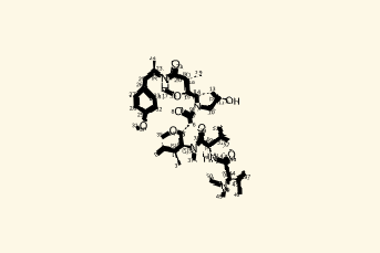 CC[C@H](C)[C@@H]([C@@H](CC(=O)N1C[C@@H](O)C[C@H]1[C@H](OC)[C@@H](C)C(=O)N[C@H](C)Cc1ccc(OC)cc1)OC)N(C)C(=O)[C@@H](NC(=O)[C@H](C(C)C)N(C)C)C(C)C